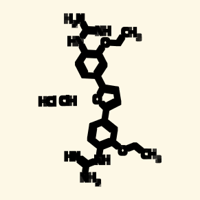 CCOc1cc(-c2ccc(-c3ccc(NC(=N)N)c(OCC)c3)o2)ccc1NC(=N)N.Cl.Cl